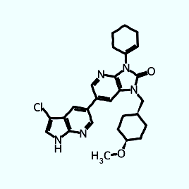 CO[C@H]1CC[C@@H](Cn2c(=O)n(C3=CCCCC3)c3ncc(-c4cnc5[nH]cc(Cl)c5c4)cc32)CC1